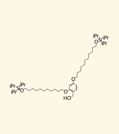 CC(C)[Si](OCCCCCCCCCCCOc1ccc(CO)c(OCCCCCCCCCCCO[Si](C(C)C)(C(C)C)C(C)C)c1)(C(C)C)C(C)C